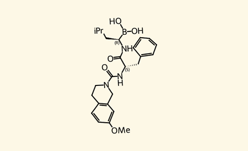 COc1ccc2c(c1)CN(C(=O)N[C@@H](Cc1ccccc1)C(=O)N[C@@H](CC(C)C)B(O)O)CC2